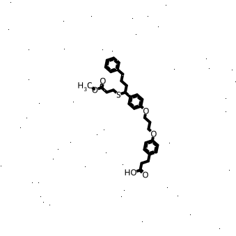 COC(=O)CCSC(CCCc1ccccc1)c1ccc(OCCCOc2ccc(CCC(=O)O)cc2)cc1